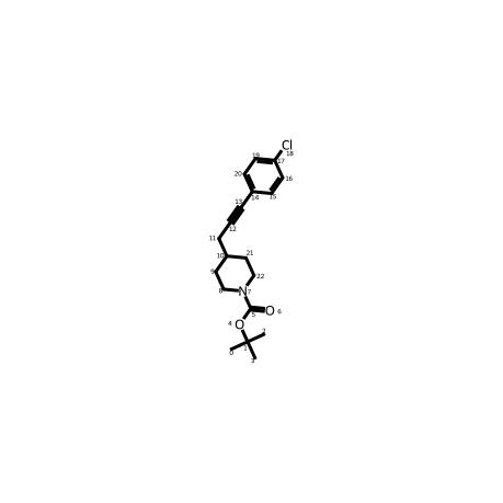 CC(C)(C)OC(=O)N1CCC(CC#Cc2ccc(Cl)cc2)CC1